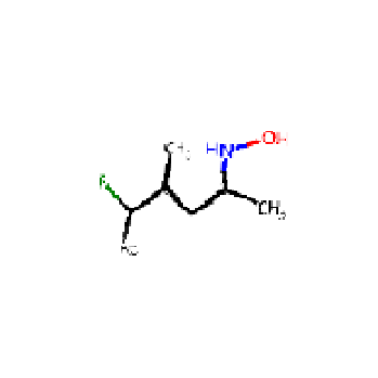 CC(=O)C(F)C(C)CC(C)NO